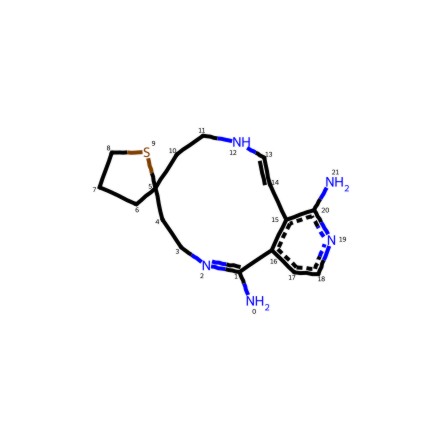 N/C1=N/CCC2(CCCS2)CCN/C=C/c2c1ccnc2N